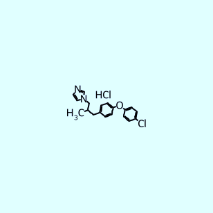 CC(Cc1ccc(Oc2ccc(Cl)cc2)cc1)Cn1ccnc1.Cl